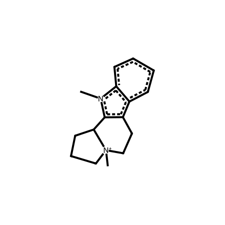 Cn1c2c(c3ccccc31)CC[N+]1(C)CCCC21